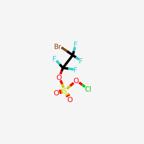 O=S(=O)(OCl)OC(F)(F)C(F)(F)Br